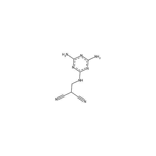 N#CC(C#N)CNc1nc(N)nc(N)n1